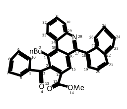 CCCCc1c(C(=O)c2ccccc2)c(C(=O)OC)cc2c(-c3cccc4ccccc34)nc3ccccc3c12